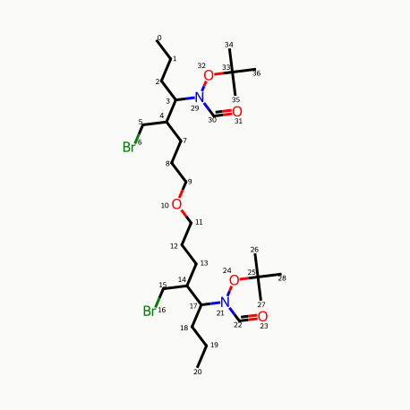 CCCC(C(CBr)CCCOCCCC(CBr)C(CCC)N(C=O)OC(C)(C)C)N(C=O)OC(C)(C)C